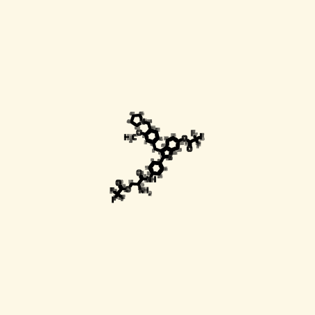 COc1cc(Cc2c(-c3ccc(NC(=O)[C@@H](N)COC(=O)C(F)(F)F)cc3)sc3cc(OC(=O)C(F)(F)F)ccc23)ccc1CN1CCCC1